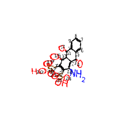 NC1=C2C(=O)c3ccccc3C(=O)C2C(=O)C(S(=O)(=O)O)=C1S(=O)(=O)O